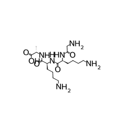 C[C@H](NC(=O)[C@H](CCCCN)NC(=O)[C@H](CCCCN)NC(=O)CN)C(=O)O